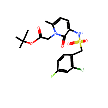 Cc1ccc(NS(=O)(=O)Cc2ccc(F)cc2Cl)c(=O)n1CC(=O)OC(C)(C)C